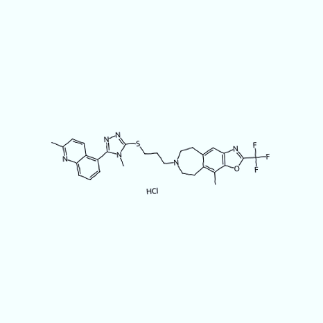 Cc1ccc2c(-c3nnc(SCCCN4CCc5cc6nc(C(F)(F)F)oc6c(C)c5CC4)n3C)cccc2n1.Cl